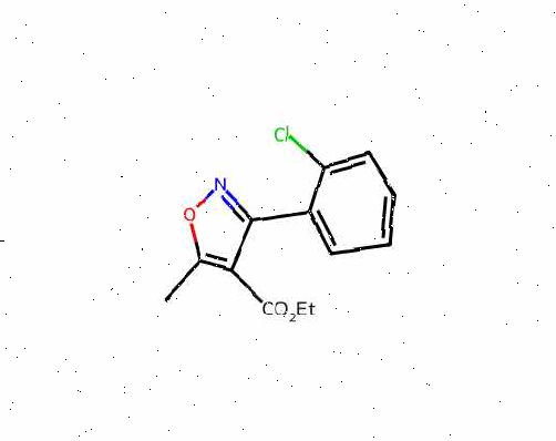 CCOC(=O)c1c(-c2ccccc2Cl)noc1C